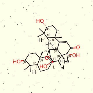 CC1(C)[C@H](O)CC[C@]2(C)C3=CC(=O)[C@](C)(O)[C@@H]4[C@@H]5C6=C([C@@H](C(=O)[C@]5(C)O)[C@]34CC[C@@H]12)[C@@]1(C)CC[C@H](O)C(C)(C)[C@@H]1CC6